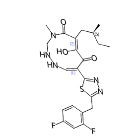 CC[C@H](C)C/C1=C(/O)C(=O)/C(c2nnc(Cc3ccc(F)cc3F)s2)=C\NNCN(C)C1=O